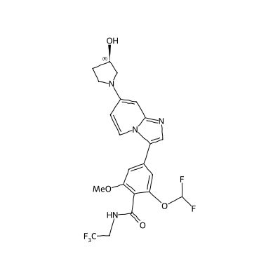 COc1cc(-c2cnc3cc(N4CC[C@@H](O)C4)ccn23)cc(OC(F)F)c1C(=O)NCC(F)(F)F